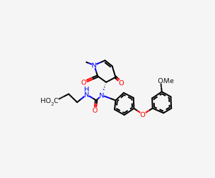 COc1cccc(Oc2ccc(N(C(=O)NCCC(=O)O)[C@H]3C(=O)C=CN(C)C3=O)cc2)c1